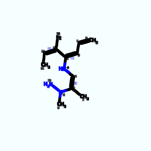 C=C/C=C(N/C=C(/C)N(C)N)\C(=C/C)CC